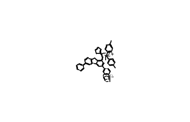 Cc1ccc([C](c2ccc(C)cc2)=[Ti+2]([C]2=CC=CC2)[c]2cc(-c3ccccc3)cc3c2Cc2ccc(-c4ccccc4)cc2-3)cc1.[Cl-].[Cl-]